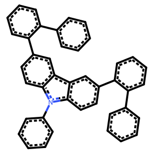 c1ccc(-c2ccccc2-c2ccc3c(c2)c2cc(-c4ccccc4-c4ccccc4)ccc2n3-c2ccccc2)cc1